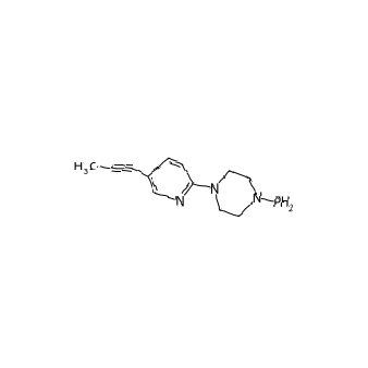 CC#Cc1ccc(N2CCN(P)CC2)nc1